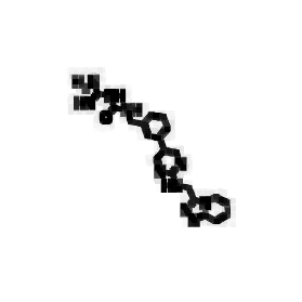 N=C(N)NC(=O)NCc1cccc(-c2cnc(NCc3nnc4ccccn34)nc2)c1